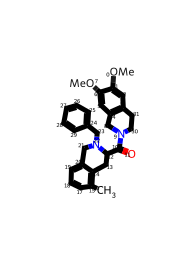 COc1cc2c(cc1OC)CN(C(=O)C1Cc3c(C)cccc3CN1Cc1ccccc1)CC2